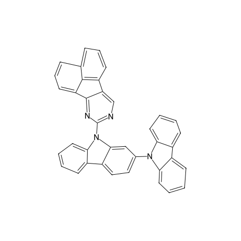 c1cc2c3c(cccc3c1)-c1nc(-n3c4ccccc4c4ccc(-n5c6ccccc6c6ccccc65)cc43)ncc1-2